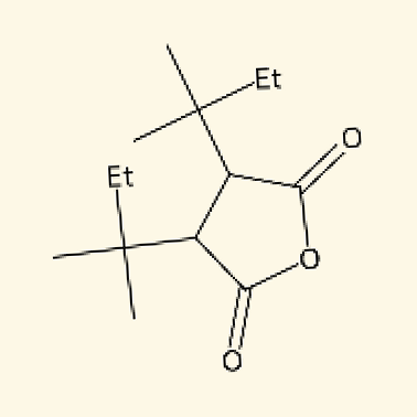 CCC(C)(C)C1C(=O)OC(=O)C1C(C)(C)CC